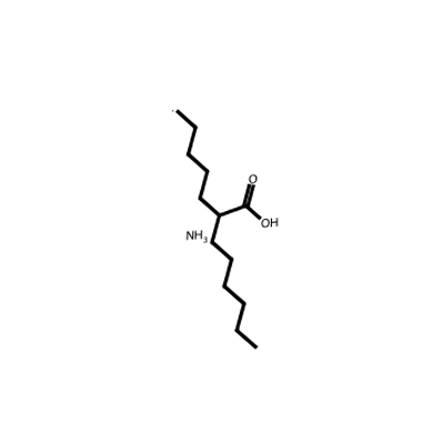 N.[CH2]CCCCC(CCCCCC)C(=O)O